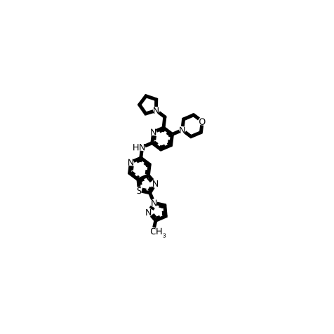 Cc1ccn(-c2nc3cc(Nc4ccc(N5CCOCC5)c(CN5CCCC5)n4)ncc3s2)n1